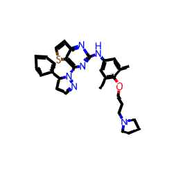 Cc1cc(Nc2nc(N3N=CCC3c3ccccc3)c3sccc3n2)cc(C)c1OCCCN1CCCC1